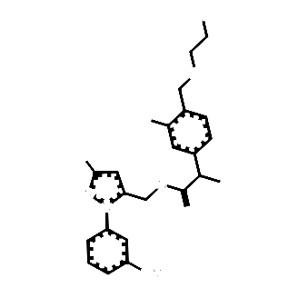 COc1cccc(-n2nc(C(F)(F)F)cc2CNC(=O)C(C)c2ccc(COCCO)c(F)c2)c1